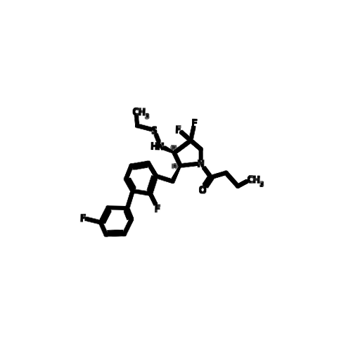 CCCC(=O)N1CC(F)(F)[C@H](NSCC)[C@@H]1Cc1cccc(-c2cccc(F)c2)c1F